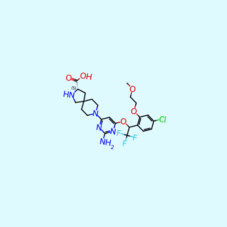 COCCOc1cc(Cl)ccc1C(Oc1cc(N2CCC3(CC2)CN[C@H](C(=O)O)C3)nc(N)n1)C(F)(F)F